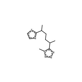 CC(CCC(C)c1nnnn1C)c1nccs1